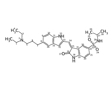 CCN(CC)CCCc1ccc2[nH]c(C=C3C(=O)Nc4ccc(S(=O)(=O)NC(C)C)cc43)cc2c1